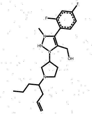 C=CCC(CCC)N1CCC(N2NN(C)C(c3ccc(F)cc3F)=C2CO)C1